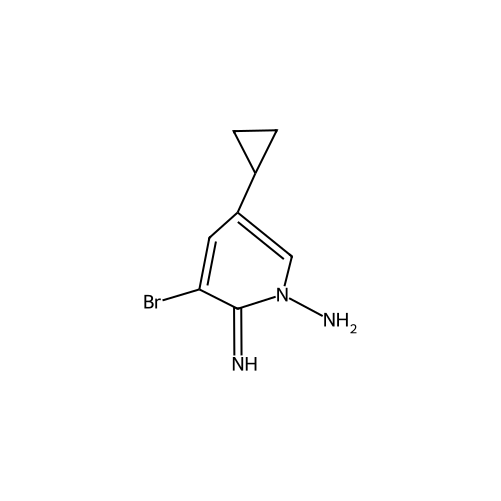 N=c1c(Br)cc(C2CC2)cn1N